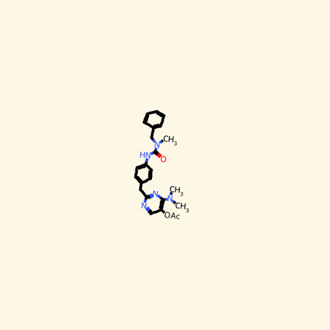 CC(=O)Oc1cnc(Cc2ccc(NC(=O)N(C)Cc3ccccc3)cc2)nc1N(C)C